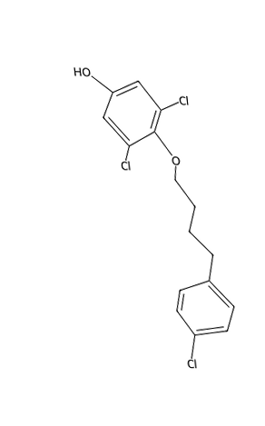 Oc1cc(Cl)c(OCCCCc2ccc(Cl)cc2)c(Cl)c1